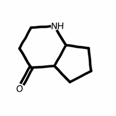 O=C1CCNC2CCCC12